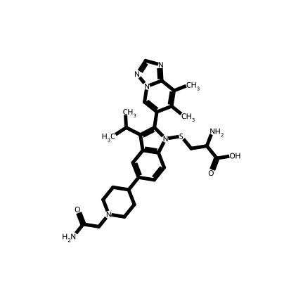 Cc1c(-c2c(C(C)C)c3cc(C4CCN(CC(N)=O)CC4)ccc3n2SCC(N)C(=O)O)cn2ncnc2c1C